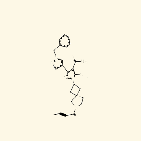 CC#CC(=O)N1CC[C@]2(C1)C[C@H](n1nc(-c3cnn(Cc4ccccc4)c3)c(C(N)=O)c1N)C2